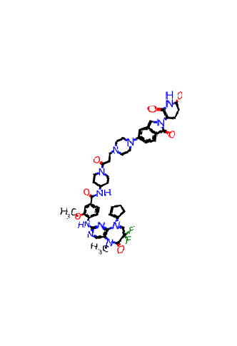 COc1cc(C(=O)NC2CCN(C(=O)CCN3CCN(c4ccc5c(c4)CN(C4CCC(=O)NC4=O)C5=O)CC3)CC2)ccc1Nc1ncc2c(n1)N(C1CCCC1)CC(F)(F)C(=O)N2C